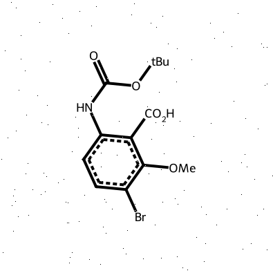 COc1c(Br)ccc(NC(=O)OC(C)(C)C)c1C(=O)O